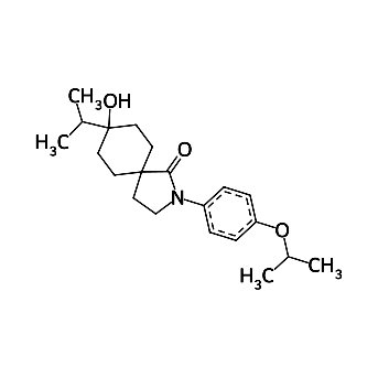 CC(C)Oc1ccc(N2CCC3(CCC(O)(C(C)C)CC3)C2=O)cc1